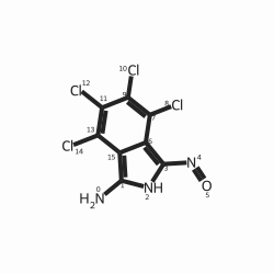 Nc1[nH]c(N=O)c2c(Cl)c(Cl)c(Cl)c(Cl)c12